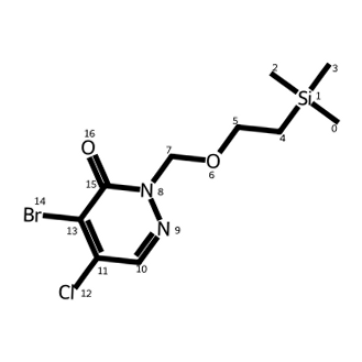 C[Si](C)(C)CCOCn1ncc(Cl)c(Br)c1=O